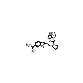 CCOC(=O)CN(CC(=O)N1CCC[C@H]1CCc1cc2ccc(C(=N)N)cc2n1C)C1CCCC1